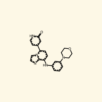 O=c1cc(-c2ccc(Nc3cccc(N4CCOCC4)c3)c3nccn23)cc[nH]1